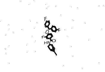 Cc1ccc(NC(=O)c2ccc(OC(c3ccc(F)cc3)c3ccc(F)cc3)c(F)c2)cc1